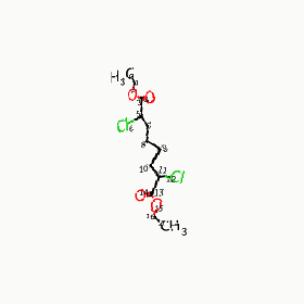 CCOC(=O)C(Cl)CCCCC(Cl)C(=O)OCC